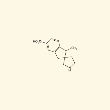 CC1c2ccc(C(=O)O)cc2CC12CCNC2